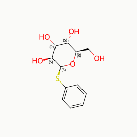 OC[C@H]1O[C@@H](Sc2ccccc2)[C@@H](O)[C@H](O)[C@@H]1O